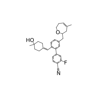 CC1=CCCOC(Cc2ccc(C=C3CCC(C)(O)CC3)c(-c3ccc(C#N)c(F)c3)c2)C1